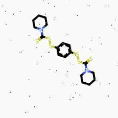 S=C(SSc1ccc(SSC(=S)N2CCCCC2)cc1)N1CCCCC1